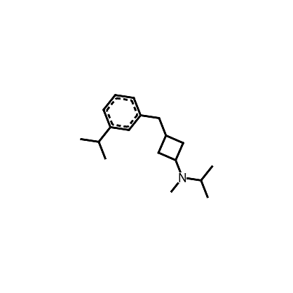 CC(C)c1cccc(CC2CC(N(C)C(C)C)C2)c1